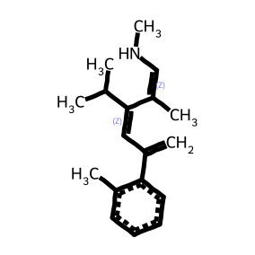 C=C(/C=C(\C(C)=C/NC)C(C)C)c1ccccc1C